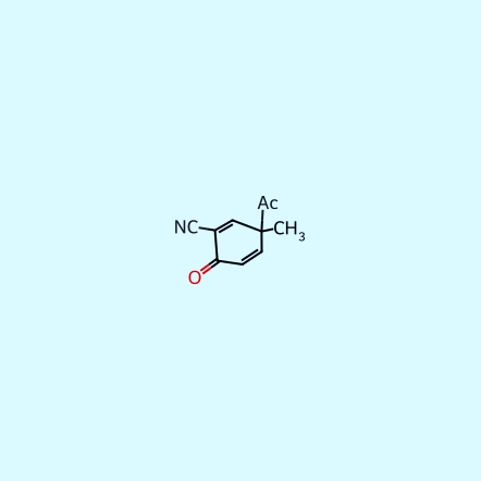 CC(=O)C1(C)C=CC(=O)C(C#N)=C1